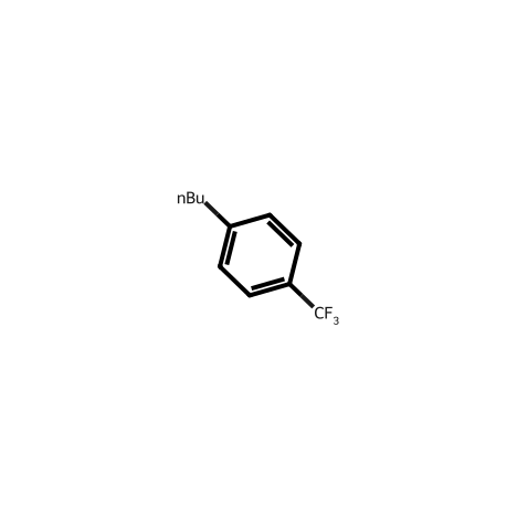 [CH2]CCCc1ccc(C(F)(F)F)cc1